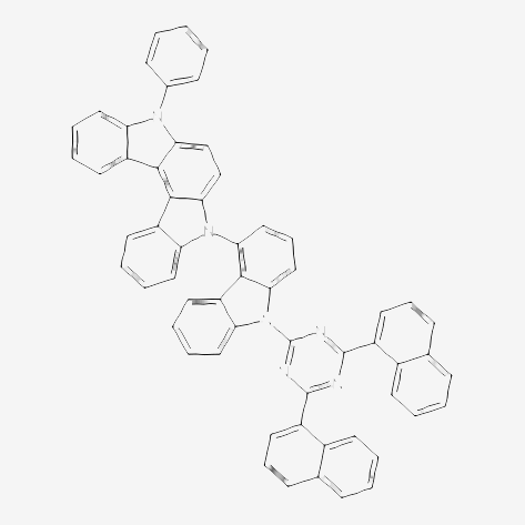 c1ccc(-n2c3ccccc3c3c4c5ccccc5n(-c5cccc6c5c5ccccc5n6-c5nc(-c6cccc7ccccc67)nc(-c6cccc7ccccc67)n5)c4ccc32)cc1